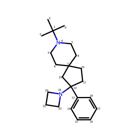 CC(C)(C)N1CCC2(CC1)CCC(c1ccccc1)(N1CCC1)C2